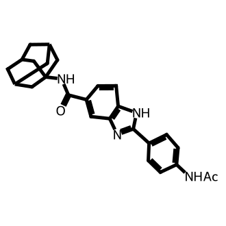 CC(=O)Nc1ccc(-c2nc3cc(C(=O)NC45CC6CC(CC(C6)C4)C5)ccc3[nH]2)cc1